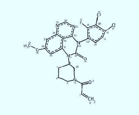 C=CC(=O)N1CCCC(N2C(=O)N(c3ccc(Cl)c(Cl)c3F)c3ncnc4cc(OC)cc2c34)C1